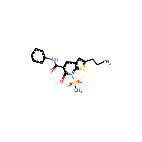 CCCc1cc2cc(C(=O)Nc3ccccc3)c(=O)n(S(C)(=O)=O)c2s1